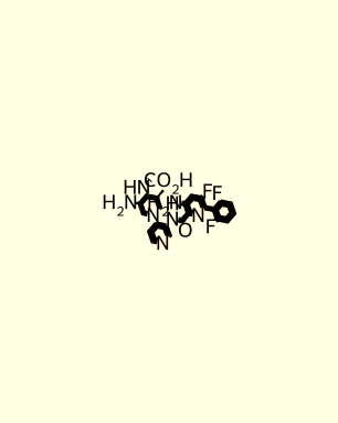 C[C@H]1CN(c2ccncc2NC(=O)c2nc(-c3c(F)cccc3F)c(F)cc2N)C[C@@H](N)[C@H]1NC(=O)O